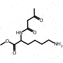 COC(=O)C(CCCCN)NC(=O)CC(C)=O